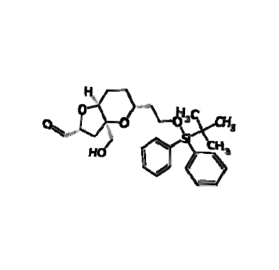 CC(C)(C)[Si](OCC[C@H]1CC[C@@H]2O[C@@H](C=O)C[C@]2(CO)O1)(c1ccccc1)c1ccccc1